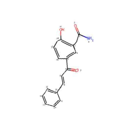 NC(=O)c1cc(C(=O)C=Cc2ccccc2)ccc1O